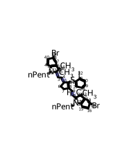 CCCCCN1/C(=C/C=C2\CCC(/C=C/C3=[N+](CCCCC)c4ccc(Br)cc4C3(C)C)=C2Sc2ccccc2I)C(C)(C)c2cc(Br)ccc21